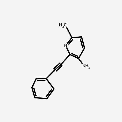 Cc1ccc(N)c(C#Cc2ccccc2)n1